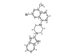 Cc1cc(Br)cc2c(N3CCN(c4nc5ccccc5[nH]4)CC3)ncnc12